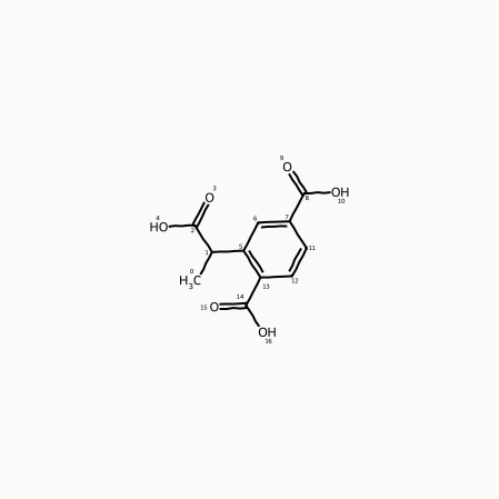 CC(C(=O)O)c1cc(C(=O)O)ccc1C(=O)O